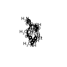 CCNc1cc2oc3cc(=N)c(C)cc-3c(-c3ccc(C(=O)NCC(C)(C)SSCO[C@@H]4C[C@H](n5ccc(N)nc5=O)O[C@@H]4COP(=O)(O)OP(=O)(O)OP(=O)(O)O)cc3C(=O)O)c2cc1C